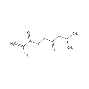 C=C(C)C(=O)OCC(=O)CC(C)C